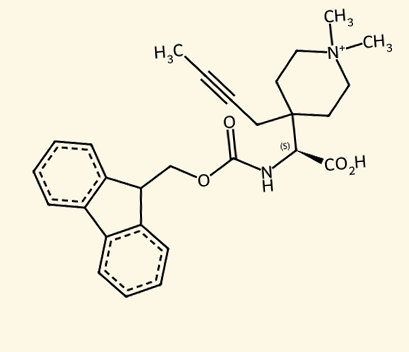 CC#CCC1([C@H](NC(=O)OCC2c3ccccc3-c3ccccc32)C(=O)O)CC[N+](C)(C)CC1